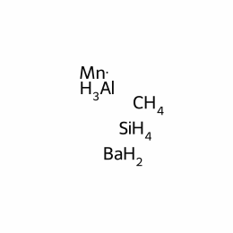 C.[AlH3].[BaH2].[Mn].[SiH4]